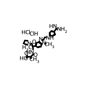 CC(C(=O)O)C(=O)NCC(C)(C(=O)N1CCCC1)c1ccc2c(c1)nc(CNc1ccc(C(=N)N)cc1)n2C.Cl.Cl